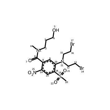 CN(CCCO)C(=O)c1cc(N(CCBr)CCBr)c(S(C)(=O)=O)cc1[N+](=O)[O-]